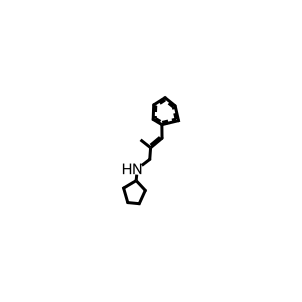 C/C(=C\c1ccccc1)CNC1CCCC1